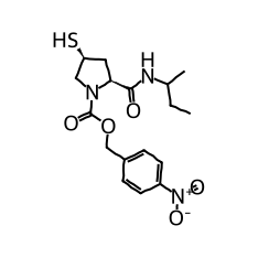 CCC(C)NC(=O)[C@@H]1C[C@H](S)CN1C(=O)OCc1ccc([N+](=O)[O-])cc1